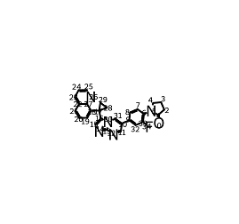 O=C1CCCN1c1ccc(-c2cnc3ncc(C4(c5cccc6cccnc56)CC4)n3c2)cc1F